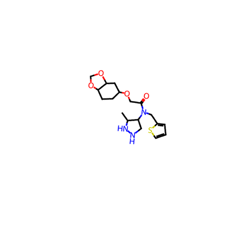 CC1NNCC1N(Cc1cccs1)C(=O)COC1CCC2OCOC2C1